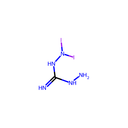 N=C(NN)NN(I)I